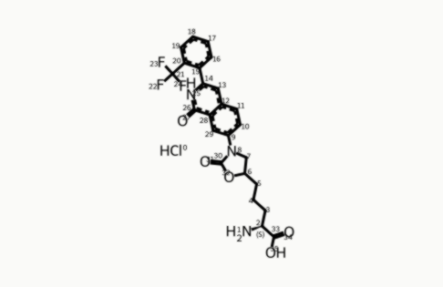 Cl.N[C@@H](CCCC1CN(c2ccc3cc(-c4ccccc4C(F)(F)F)[nH]c(=O)c3c2)C(=O)O1)C(=O)O